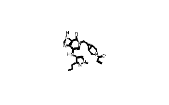 C=CC(=O)N1CC2C(C1)C2Cn1cc(Nc2cn(C)nc2CCC)c2nc[nH]c2c1=O